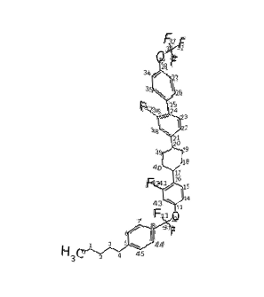 CCCCCc1ccc(C(F)(F)Oc2ccc(C3CCC(c4ccc(-c5ccc(OC(F)(F)F)cc5)c(F)c4)CC3)c(F)c2)cc1